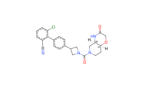 N#Cc1cccc(Cl)c1-c1ccc(C2CN(C(=O)N3CC[C@@H]4OCC(=O)N[C@@H]4C3)C2)cc1